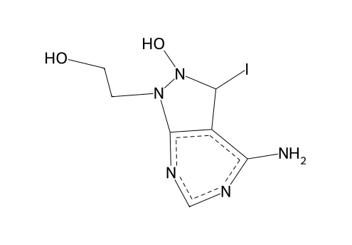 Nc1ncnc2c1C(I)N(O)N2CCO